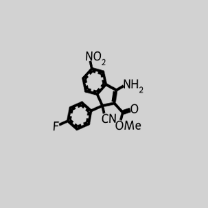 COC(=O)C1=C(N)c2cc([N+](=O)[O-])ccc2C1(C#N)c1ccc(F)cc1